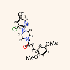 COc1ccc(OC)c(CCC(=O)N2CCN(c3ncc(C(F)(F)F)cc3Cl)CC2)c1